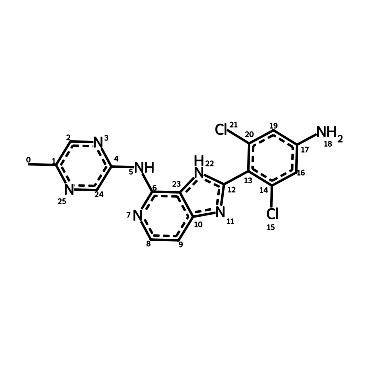 Cc1cnc(Nc2nccc3nc(-c4c(Cl)cc(N)cc4Cl)[nH]c23)cn1